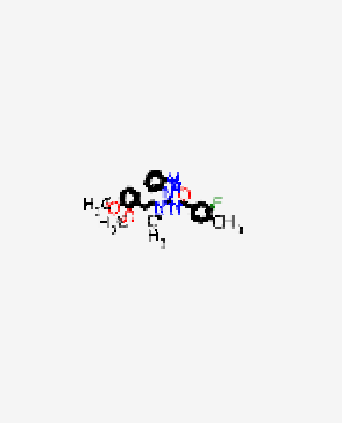 CCN(CCc1cccc(OC)c1OC)/C(=N/C(=O)c1ccc(C)c(F)c1)n1nnc2ccccc21